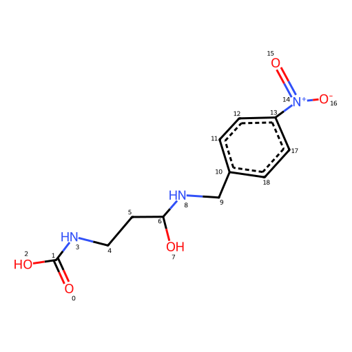 O=C(O)NCCC(O)NCc1ccc([N+](=O)[O-])cc1